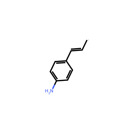 [CH2]C=Cc1ccc(N)cc1